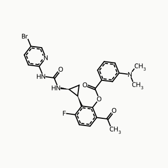 CC(=O)c1ccc(F)c([C@@H]2C[C@@H]2NC(=O)Nc2ccc(Br)cn2)c1OC(=O)c1cccc(N(C)C)c1